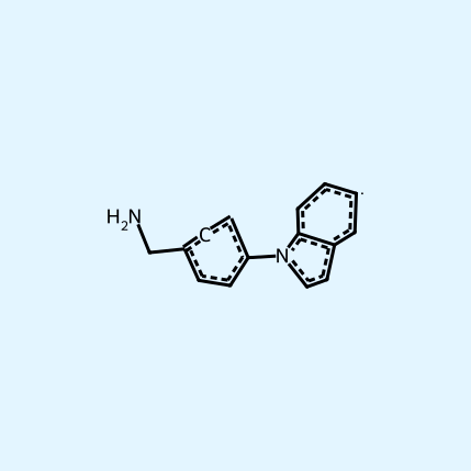 NCc1ccc(-n2ccc3c[c]ccc32)cc1